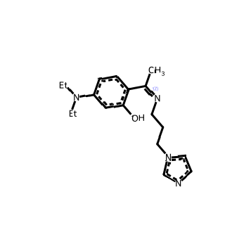 CCN(CC)c1ccc(/C(C)=N\CCCn2ccnc2)c(O)c1